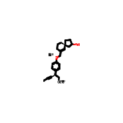 CC#C[C@@H](CC(=O)[O-])c1ccc(OCC2=C[C@@]3(CCC2)CC[C@@H](O)C3)cc1.[Na+]